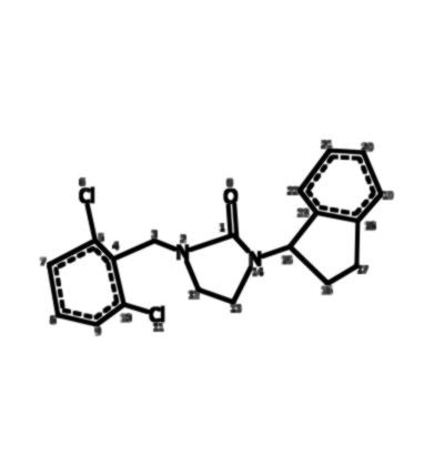 O=C1N(Cc2c(Cl)cccc2Cl)CCN1C1CCc2ccccc21